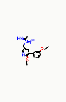 CCOc1cccc(-c2cc(CN(N=N)C(C)=N)cnc2OCC)c1